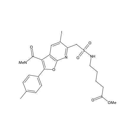 CNC(=O)c1c(-c2ccc(C)cc2)oc2nc(CS(=O)(=O)NCCCCC(=O)OC)c(I)cc12